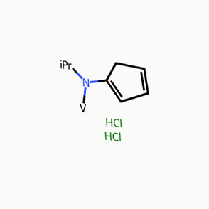 CC(C)[N]([V])C1=CC=CC1.Cl.Cl